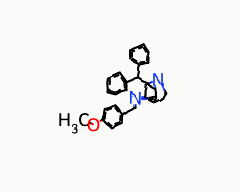 COc1ccc(CN=C2C3CCN(CC3)C2C(c2ccccc2)c2ccccc2)cc1